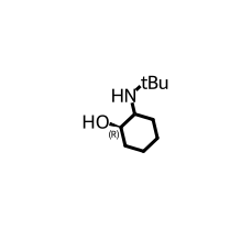 CC(C)(C)NC1CCCC[C@H]1O